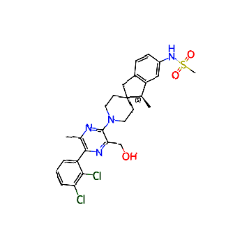 Cc1nc(N2CCC3(CC2)Cc2ccc(NS(C)(=O)=O)cc2[C@H]3C)c(CO)nc1-c1cccc(Cl)c1Cl